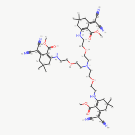 COC(=O)C1=C(NCCOCCN(CCOCCNC2=C(C(=O)OC)C(=C(C#N)C#N)CC(C)(C)C2)CCOCCNC2=C(C(=O)OC)C(=C(C#N)C#N)CC(C)(C)C2)CC(C)(C)CC1=C(C#N)C#N